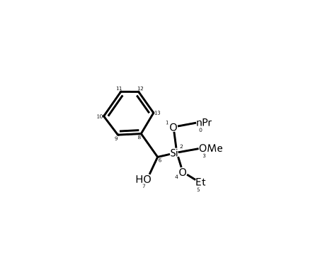 CCCO[Si](OC)(OCC)C(O)c1ccccc1